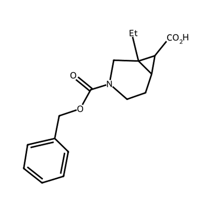 CCC12CN(C(=O)OCc3ccccc3)CCC1C2C(=O)O